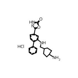 Cl.NC1CCC(CNc2cc(-c3n[nH]c(=O)o3)ccc2-c2ccccc2)CC1